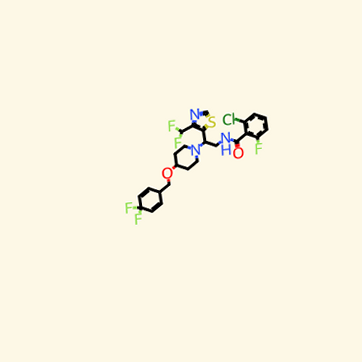 O=C(NCC(c1scnc1C(F)F)N1CCC(OCC2C=CC(F)(F)C=C2)CC1)c1c(F)cccc1Cl